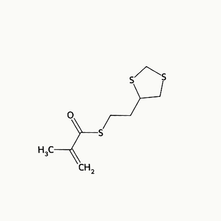 C=C(C)C(=O)SCCC1CSCS1